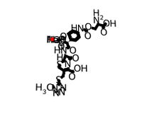 Cn1nnnc1SCC1=C(C(=O)O)N2C(=O)[C@@H](NC(=O)[C@@H](c3ccc(NC(=O)OC[C@@H](N)C(=O)O)cc3)S(=O)(=O)O)[C@H]2SC1.[NaH].[NaH]